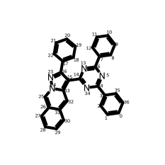 c1ccc(-c2nc(-c3ccccc3)nc(-c3c(-c4ccccc4)nn4cc5ccccc5cc34)n2)cc1